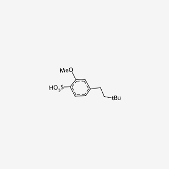 COc1cc(CCC(C)(C)C)ccc1S(=O)(=O)O